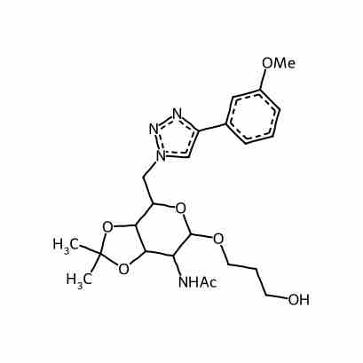 COc1cccc(-c2cn(CC3OC(OCCCO)C(NC(C)=O)C4OC(C)(C)OC34)nn2)c1